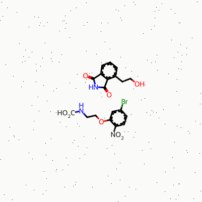 O=C(O)NCCOc1cc(Br)ccc1[N+](=O)[O-].O=C1NC(=O)c2c(CCO)cccc21